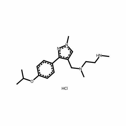 CNCCN(C)Cc1cn(C)nc1-c1ccc(OC(C)C)cc1.Cl